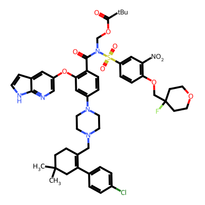 CC1(C)CCC(CN2CCN(c3ccc(C(=O)N(COC(=O)C(C)(C)C)S(=O)(=O)c4ccc(OCC5(F)CCOCC5)c([N+](=O)[O-])c4)c(Oc4cnc5[nH]ccc5c4)c3)CC2)=C(c2ccc(Cl)cc2)C1